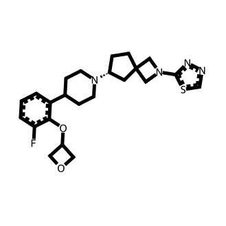 Fc1cccc(C2CCN([C@@H]3CCC4(C3)CN(c3nncs3)C4)CC2)c1OC1COC1